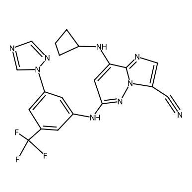 N#Cc1cnc2c(NC3CCC3)cc(Nc3cc(-n4cncn4)cc(C(F)(F)F)c3)nn12